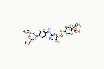 C[C@@H]1CN(c2ccc(Nc3ncc(F)c(OCC4CCC(O)(C(C)(F)F)CC4)n3)cc2)C[C@H](C)O1